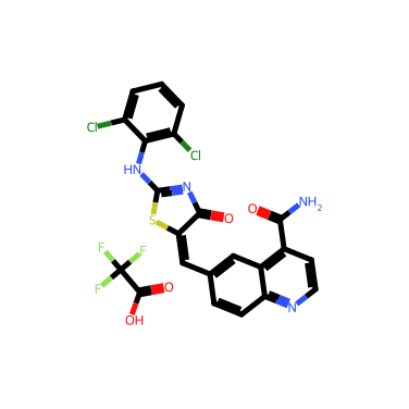 NC(=O)c1ccnc2ccc(C=C3SC(Nc4c(Cl)cccc4Cl)=NC3=O)cc12.O=C(O)C(F)(F)F